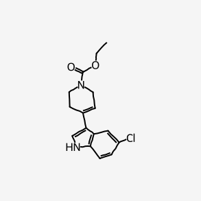 CCOC(=O)N1CC=C(c2c[nH]c3ccc(Cl)cc23)CC1